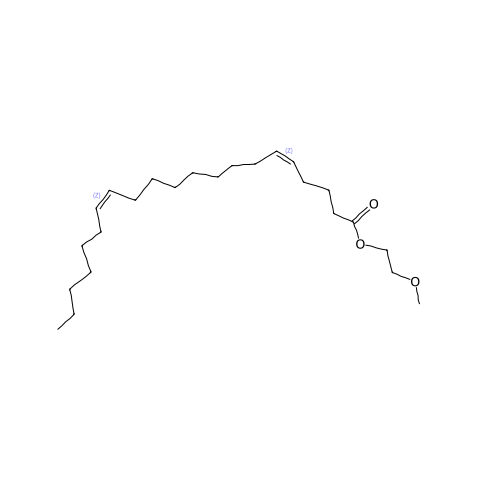 CCCCCC/C=C\CCCCCCC/C=C\CCCC(=O)OCCOC